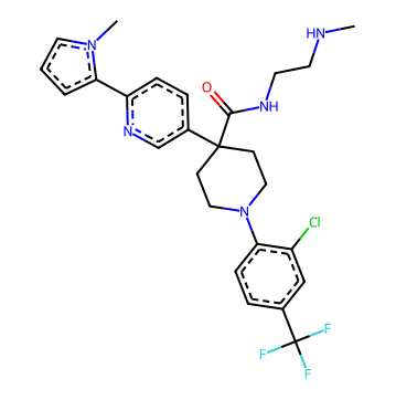 CNCCNC(=O)C1(c2ccc(-c3cccn3C)nc2)CCN(c2ccc(C(F)(F)F)cc2Cl)CC1